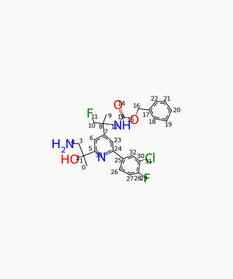 CC(O)(CN)c1cc(C(C)(CF)NC(=O)OCc2ccccc2)cc(-c2ccc(F)c(Cl)c2)n1